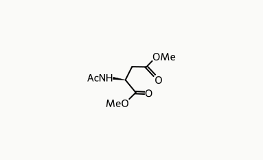 COC(=O)C[C@H](NC(C)=O)C(=O)OC